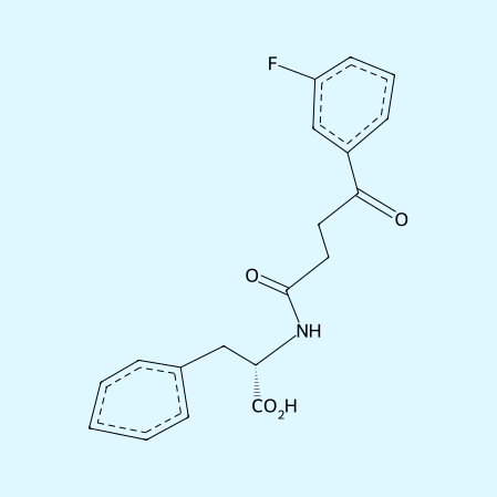 O=C(CCC(=O)c1cccc(F)c1)N[C@@H](Cc1ccccc1)C(=O)O